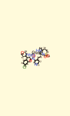 COC(=O)N[C@H](C(=O)Nc1cnccc1CC[C@H]1CN[C@@H]2CCCS(=O)(=O)N1C2)[C@@H](c1ccc(Cl)cc1)C1CCOCC1